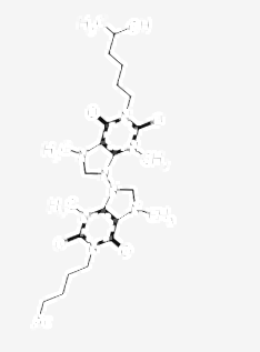 CC(=O)CCCCn1c(=O)c2c(n(C)c1=O)N(N1CN(C)c3c1n(C)c(=O)n(CCCCC(C)O)c3=O)CN2C